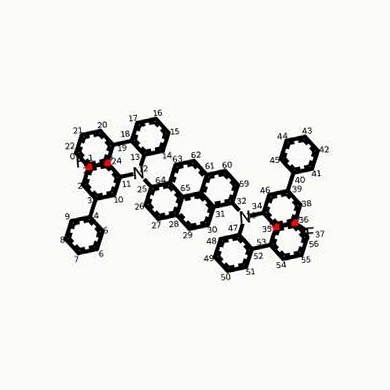 Fc1cc(-c2ccccc2)cc(N(c2ccccc2-c2ccccc2)c2ccc3ccc4c(N(c5cc(F)cc(-c6ccccc6)c5)c5ccccc5-c5ccccc5)ccc5ccc2c3c54)c1